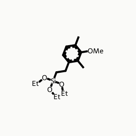 CCO[Si](CCc1ccc(C)c(OC)c1C)(OCC)OCC